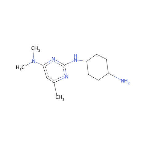 Cc1cc(N(C)C)nc(NC2CCC(N)CC2)n1